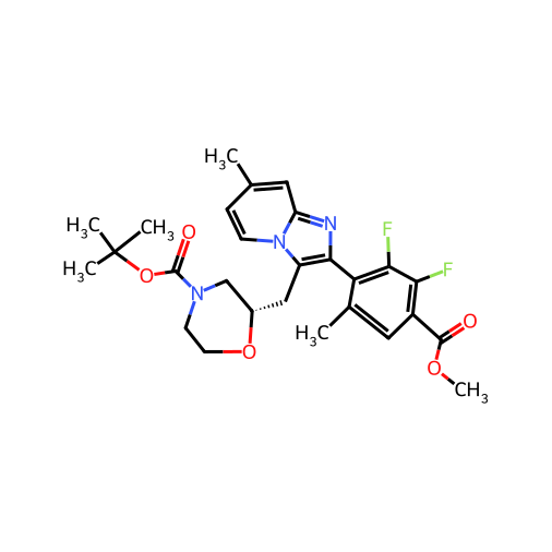 COC(=O)c1cc(C)c(-c2nc3cc(C)ccn3c2C[C@H]2CN(C(=O)OC(C)(C)C)CCO2)c(F)c1F